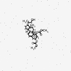 COC(=O)O[C@@H]1CC2=CC=C3[C@@H]4CC[C@H](C(C)CO)[C@@]4(C)CC[C@@H]3[C@@]2(C)[C@@H](OC(=O)OC)C1